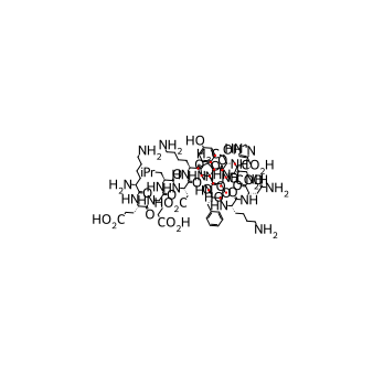 CC(C)C[C@H](NC(=O)[C@H](CCC(=O)O)NC(=O)[C@H](CCC(=O)O)NC(=O)[C@@H](N)CCCCN)C(=O)N[C@@H](CC(=O)O)C(=O)N[C@@H](CCCCN)C(=O)N[C@@H](Cc1ccc(O)cc1)C(=O)N[C@@H](Cc1ccccc1)C(=O)N[C@@H](CCCCN)C(=O)N[C@@H](CC(N)=O)C(=O)N[C@@H](Cc1c[nH]cn1)C(=O)N[C@H](C(=O)N[C@@H](CO)C(=O)N1CCC[C@H]1C(=O)N[C@@H](CC(=O)O)C(=O)O)[C@@H](C)O